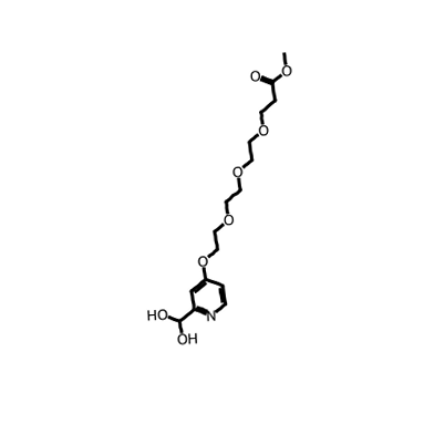 COC(=O)CCOCCOCCOCCOc1ccnc(C(O)O)c1